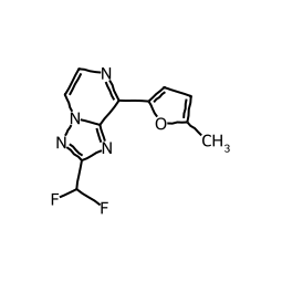 Cc1ccc(-c2nccn3nc(C(F)F)nc23)o1